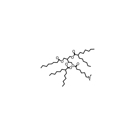 CCCCCCCC(=O)OCC(COC(=O)C(CCCCCC)CCCCCC)C(COC(=O)CCCCCN(C)C)OC(=O)C(CCCCCC)CCCCCC